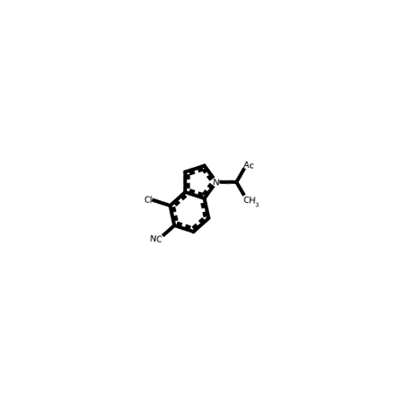 CC(=O)C(C)n1ccc2c(Cl)c(C#N)ccc21